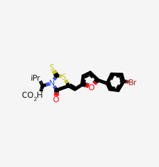 CC(C)C(C(=O)O)N1C(=O)C(=Cc2ccc(-c3ccc(Br)cc3)o2)SC1=S